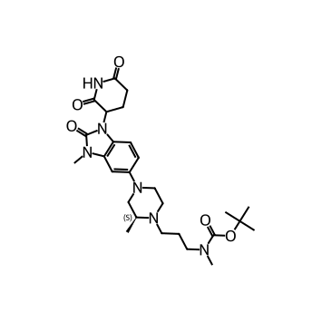 C[C@H]1CN(c2ccc3c(c2)n(C)c(=O)n3C2CCC(=O)NC2=O)CCN1CCCN(C)C(=O)OC(C)(C)C